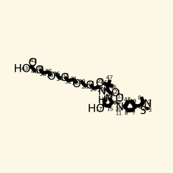 Cc1ncsc1-c1ccc(N(C)C(=O)[C@@H]2C[C@@H](O)CN2C(=O)[C@@H](NC(=O)COCCOCCOCCOCCOCC(=O)O)C(C)(C)C)cc1